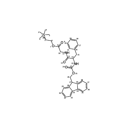 C[SH](C)(C)(C)CCOC(=O)CNC(=O)C(Cc1ccccc1)NC(=O)OCC1c2ccccc2-c2ccccc21